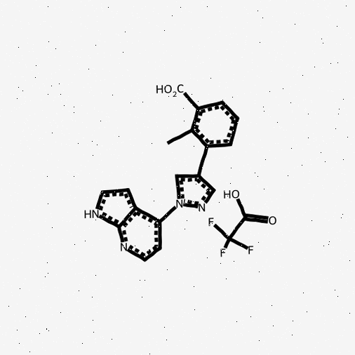 Cc1c(C(=O)O)cccc1-c1cnn(-c2ccnc3[nH]ccc23)c1.O=C(O)C(F)(F)F